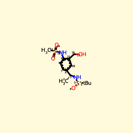 C[C@@H](N[S+]([O-])C(C)(C)C)c1ccc(NS(C)(=O)=O)c(CO)c1